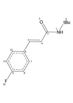 CC(C)(C)NC(=O)/C=C/c1ccc(F)cc1